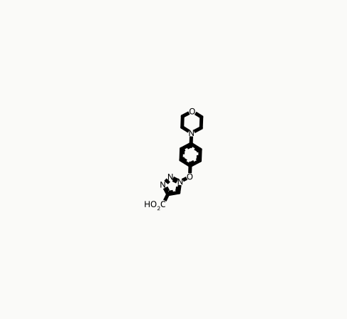 O=C(O)c1cn(Oc2ccc(N3CCOCC3)cc2)nn1